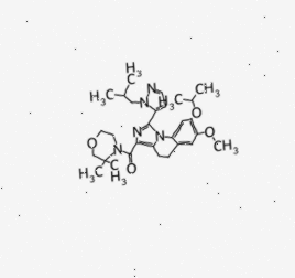 COc1cc2c(cc1OC(C)C)-n1c(-c3ccnn3CC(C)C)nc(C(=O)N3CCOCC3(C)C)c1CC2